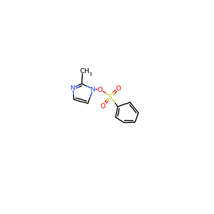 Cc1nccn1OS(=O)(=O)c1ccccc1